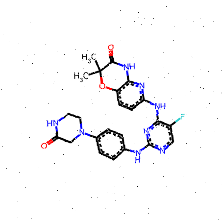 CC1(C)Oc2ccc(Nc3nc(Nc4ccc(N5CCNC(=O)C5)cc4)ncc3F)nc2NC1=O